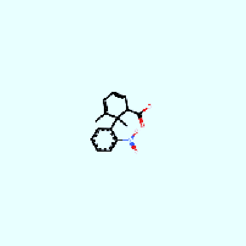 CC1=CC=CC(C(=O)O)C1(C)c1ccccc1[N+](=O)[O-]